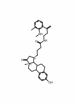 C=C(CCNC(=O)CCC[C@@H]1CC(=O)[C@@]2(C)CCC3c4ccc(O)cc4CCC3C12)c1cccc(C)c1NC